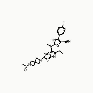 CCc1nc2sc(N3CC4(C3)CN([S+](C)[O-])C4)nn2c1N(C)C1NC(c2ccc(F)cc2)=C(C#N)S1